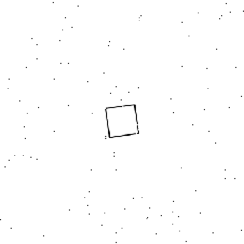 [C]1CCC1